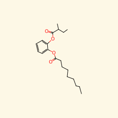 CCCCCCCCC(=O)Oc1ccccc1OC(=O)C(C)CC